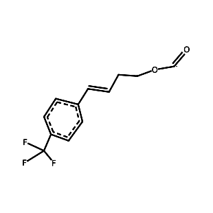 O=[C]OCCC=Cc1ccc(C(F)(F)F)cc1